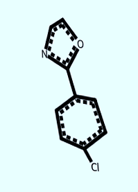 Clc1ccc(-c2ncco2)cc1